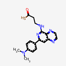 CN(C)c1ccc(-c2cc3nccnc3c(NCCC(=O)S)n2)cc1